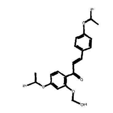 CC(C)C(C)Oc1ccc(C=CC(=O)c2ccc(OC(C)C(C)C)cc2OCO)cc1